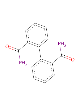 O=C(P)c1ccccc1-c1ccccc1C(=O)P